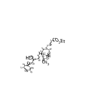 CCOC(=O)CSC[C@H]1CC[C@@H]2[C@@H](/C=C/[C@@H](O)COc3ccccc3)[C@H](C)C[C@@H]2OC1